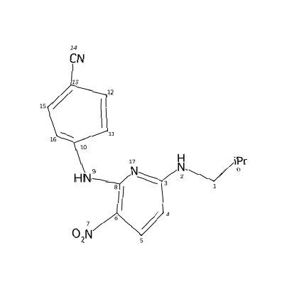 CC(C)CNc1ccc([N+](=O)[O-])c(Nc2ccc(C#N)cc2)n1